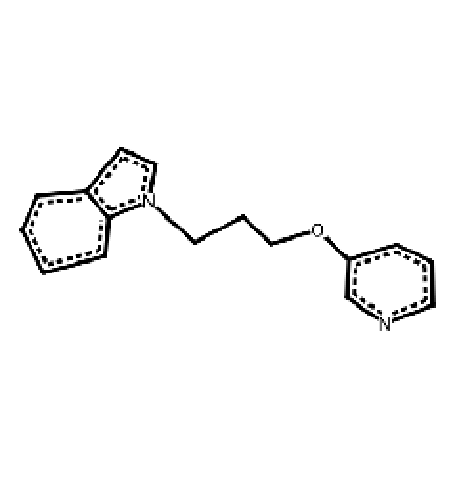 c1cncc(OCCCn2ccc3ccccc32)c1